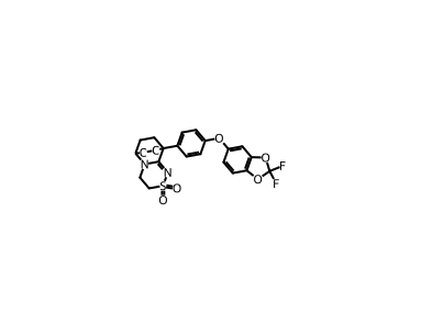 O=S1(=O)CCN2C(=N1)C1(c3ccc(Oc4ccc5c(c4)OC(F)(F)O5)cc3)CCC2CC1